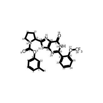 Cc1cccc(OC(=O)N2CCCC2c2nc3c(=O)[nH]c(-c4ccccc4OC(F)(F)F)nc3s2)c1